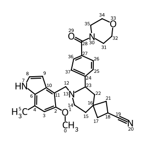 COc1cc(C)c2[nH]ccc2c1CN1CCC2(CC(C#N)C2)CC1c1ccc(C(=O)N2CCOCC2)cc1